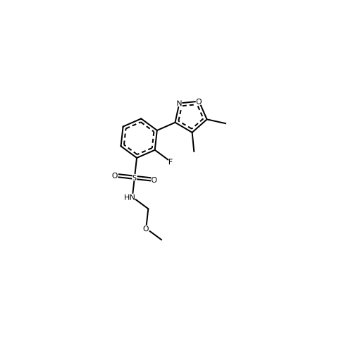 COCNS(=O)(=O)c1cccc(-c2noc(C)c2C)c1F